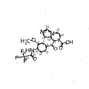 COc1cc(C(=O)c2c(C(=O)O)ccn3cncc23)ccc1NC(=O)C(F)(F)F